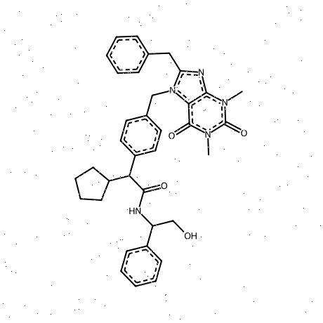 Cn1c(=O)c2c(nc(Cc3ccccc3)n2Cc2ccc(C(C(=O)NC(CO)c3ccccc3)C3CCCC3)cc2)n(C)c1=O